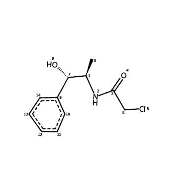 C[C@@H](NC(=O)CCl)[C@@H](O)c1ccccc1